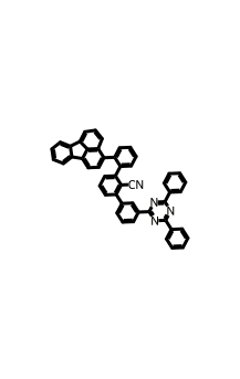 N#Cc1c(-c2cccc(-c3nc(-c4ccccc4)nc(-c4ccccc4)n3)c2)cccc1-c1ccccc1-c1ccc2c3c(cccc13)-c1ccccc1-2